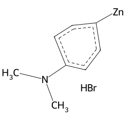 Br.CN(C)c1cc[c]([Zn])cc1